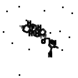 Cc1nn(CC(=O)[C@H]2CC[C@H]3[C@@H]4CC[C@@H]5C[C@@H](C)CC[C@]5(F)[C@H]4CC[C@]23C)cc1C#N